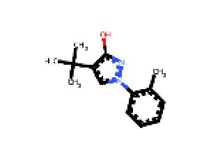 Cc1ccccc1-n1cc(C(C)(C)C)c(O)n1